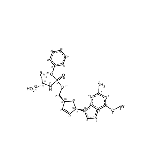 CC(C)Oc1nc(N)nc2c1ncn2[C@H]1C=C[C@@H](COP(=O)(N[C@@H](C)C(=O)O)Oc2ccccc2)C1